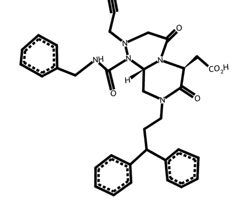 C#CCN1CC(=O)N2[C@@H](CC(=O)O)C(=O)N(CCC(c3ccccc3)c3ccccc3)C[C@@H]2N1C(=O)NCc1ccccc1